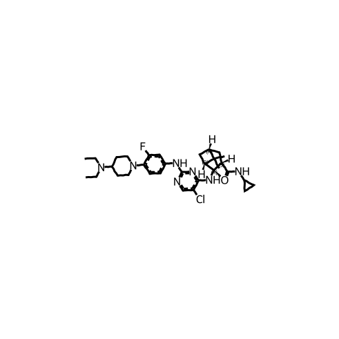 CCN(CC)C1CCN(c2ccc(Nc3ncc(Cl)c(N[C@@]4(C)[C@@H](C(=O)NC5CC5)C[C@H]5C[C@@H]4C5(C)C)n3)cc2F)CC1